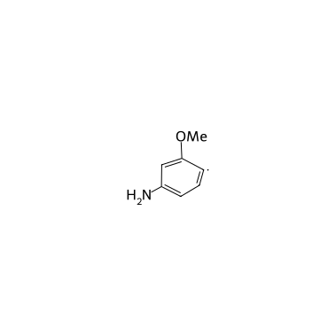 COc1[c]ccc(N)c1